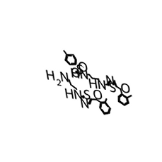 Cc1ccc(S(=O)(=O)NCCCNc2ncc(C(=O)c3ccccc3C)s2)cc1.Cc1ccccc1C(=O)c1cnc(NCCCN)s1